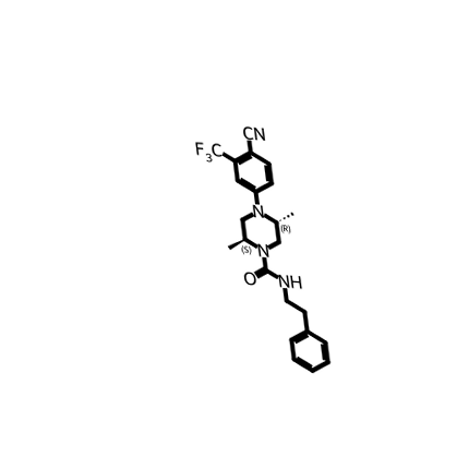 C[C@@H]1CN(C(=O)NCCc2ccccc2)[C@@H](C)CN1c1ccc(C#N)c(C(F)(F)F)c1